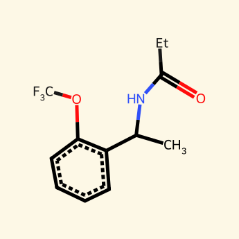 CCC(=O)NC(C)c1ccccc1OC(F)(F)F